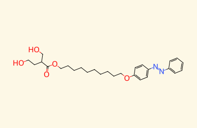 O=C(OCCCCCCCCCCOc1ccc(N=Nc2ccccc2)cc1)C(CO)CCO